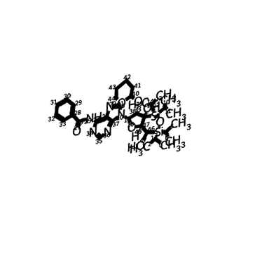 CC(C)[Si]1(C(C)C)O[Si](C(C)C)(C(C)C)[C@@]2(O)[C@H](O[C@@H](n3cnc4c(NC(=O)c5ccccc5)ncnc43)[C@@H]2OC2CCCCO2)C1O